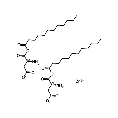 CCCCCCCCCCCC(=O)OC(=O)[C@@H](N)CC(=O)[O-].CCCCCCCCCCCC(=O)OC(=O)[C@@H](N)CC(=O)[O-].[Zn+2]